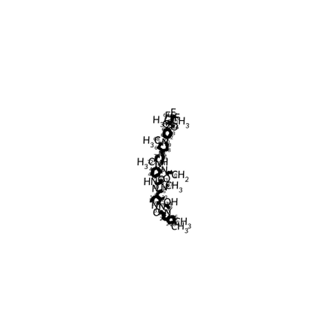 C=CC(=O)Nc1cc(Nc2nc(-c3ccnc(N4CCn5c(cc6c5CC(C)(C)C6)C4=O)c3CO)cn(C)c2=O)ccc1N1CCN(C2CCN(c3ccc(S(=O)(=O)C(C)(C)C(F)(F)F)cc3)[C@@H](C)C2)C[C@@H]1C